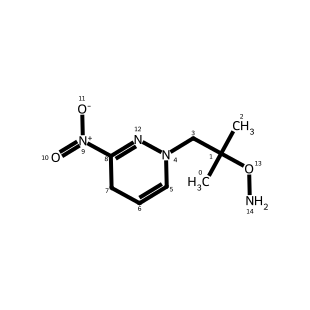 CC(C)(CN1C=CCC([N+](=O)[O-])=N1)ON